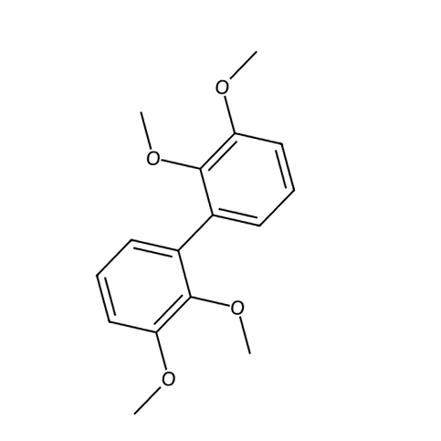 COc1cccc(-c2cccc(OC)c2OC)c1OC